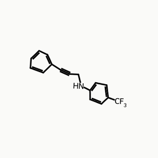 FC(F)(F)c1ccc(NCC#Cc2ccccc2)cc1